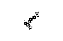 CCN(CCNC)c1ccc(-c2ccc3c(c2)C(=O)N(C(C(=O)NC2NCCS2)c2cc(F)ccc2O)C3)cc1